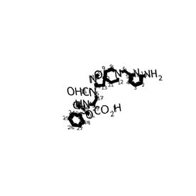 Nc1cccc(CN2CCC3(CC2)CC(N(C=O)C[C@H](NS(=O)(=O)c2ccccc2)C(=O)O)=NO3)n1